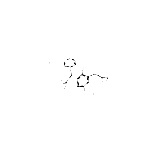 Cc1ccc(Oc2ccc(C)cc2CC2CO2)c(CC2CO2)c1